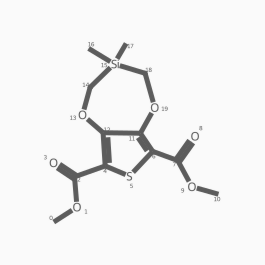 COC(=O)c1sc(C(=O)OC)c2c1OC[Si](C)(C)CO2